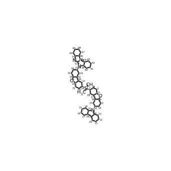 C[Si](C)(c1ccc2oc3ccc(-n4c5ccccc5c5ccccc54)cc3c2c1)c1ccc2oc3ccc(-n4c5ccccc5n5c6ccccc6nc45)cc3c2c1